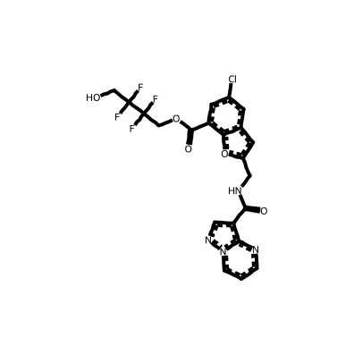 O=C(OCC(F)(F)C(F)(F)CO)c1cc(Cl)cc2cc(CNC(=O)c3cnn4cccnc34)oc12